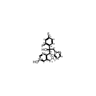 C[C@@H](c1nc[n+](O)cc1F)C(O)(Cn1cncn1)c1ccc(F)cc1F